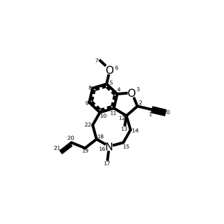 C#CC1Oc2c(OC)ccc3c2C1(C)CCN(C)C(CC=C)C3